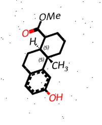 COC(=O)C1CCC[C@]2(C)c3cc(O)ccc3CC[C@@H]12